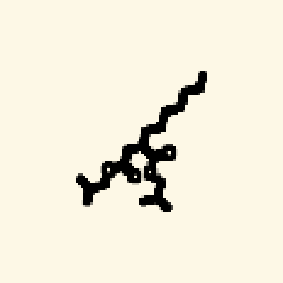 CCCCCCCC(CC(=O)OCC(C)C)C(=O)OCC(C)C